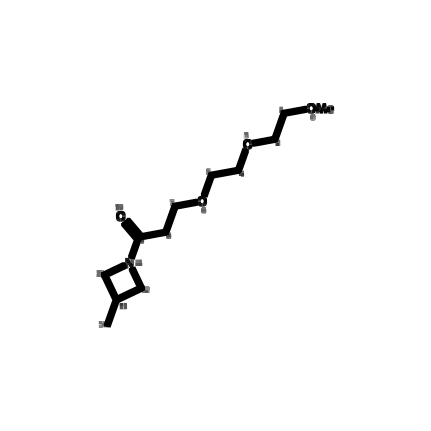 COCCOCCOCCC(=O)N1CC(C)C1